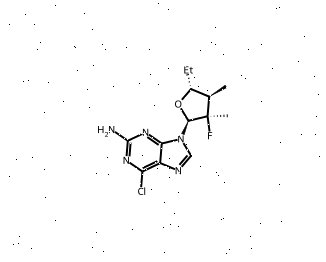 CC[C@H]1O[C@H](n2cnc3c(Cl)nc(N)nc32)[C@](C)(F)[C@@H]1C